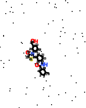 Cc1cccc(C(=O)Nc2cccc(C3SCC(=O)N3c3cccc(CO)c3)c2)c1